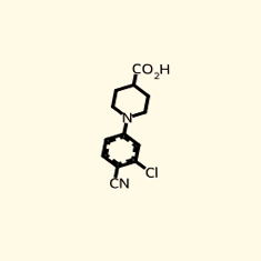 N#Cc1ccc(N2CCC(C(=O)O)CC2)cc1Cl